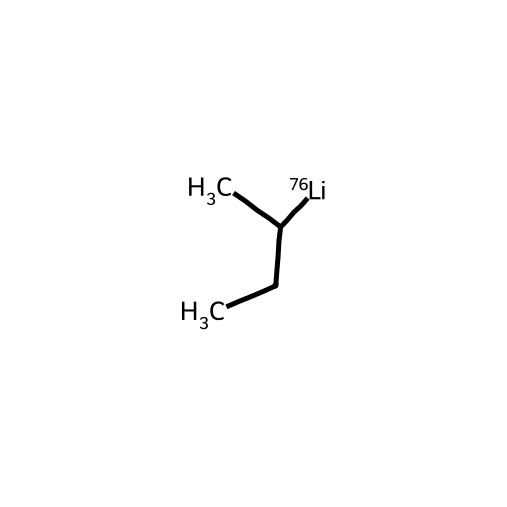 [76Li][CH](C)CC